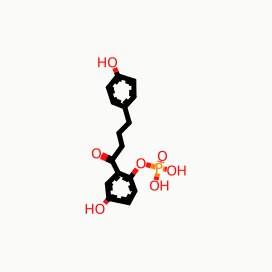 O=C(CCCc1ccc(O)cc1)c1cc(O)ccc1OP(=O)(O)O